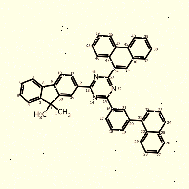 CC1(C)c2ccccc2-c2ccc(-c3nc(-c4cccc(-c5cccc6ccccc56)c4)nc(-c4cc5ccccc5c5ccccc45)n3)cc21